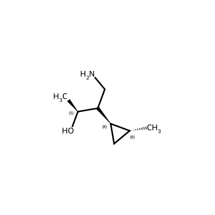 C[C@H](O)C(CN)[C@@H]1C[C@H]1C